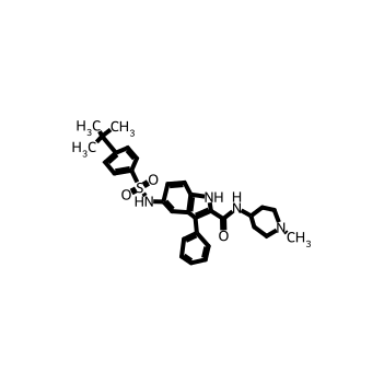 CN1CCC(NC(=O)c2[nH]c3ccc(NS(=O)(=O)c4ccc(C(C)(C)C)cc4)cc3c2-c2ccccc2)CC1